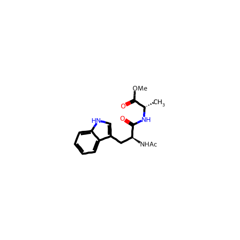 COC(=O)[C@H](C)NC(=O)[C@H](Cc1c[nH]c2ccccc12)NC(C)=O